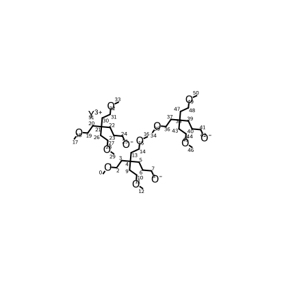 COCCC(CCC[O-])(CCOC)CCOC.COCCC(CCC[O-])(CCOC)CCOC.COCCC(CCC[O-])(CCOC)CCOC.[Y+3]